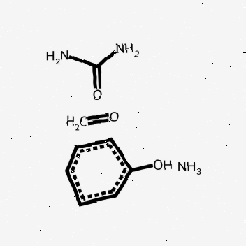 C=O.N.NC(N)=O.Oc1ccccc1